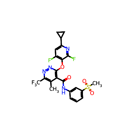 Cc1c(C(F)(F)F)nnc(Oc2c(F)cc(C3CC3)nc2F)c1C(=O)Nc1cccc(S(C)(=O)=O)c1